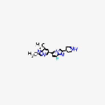 Cc1cn2cc(-c3cc(F)c4nc(C5CCNCC5)cn4c3)cc(C)c2n1